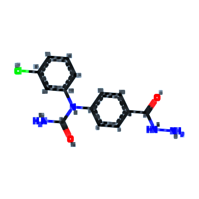 NNC(=O)c1ccc(N(C(N)=O)c2cccc(Cl)c2)cc1